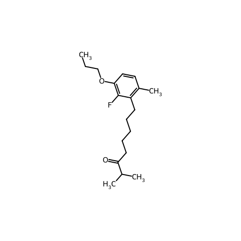 CCCOc1ccc(C)c(CCCCCC(=O)C(C)C)c1F